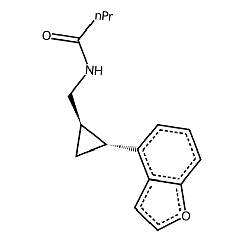 CCCC(=O)NC[C@@H]1C[C@H]1c1cccc2occc12